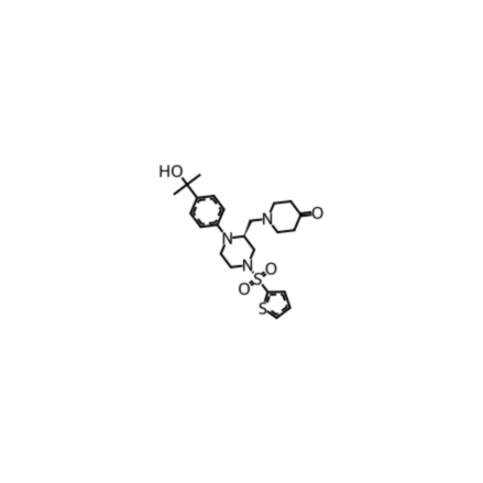 CC(C)(O)c1ccc(N2CCN(S(=O)(=O)c3cccs3)C[C@@H]2CN2CCC(=O)CC2)cc1